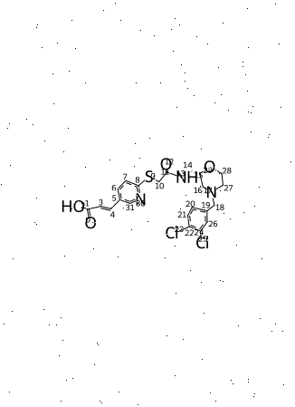 O=C(O)/C=C/c1ccc(SCC(=O)NC[C@H]2CN(Cc3ccc(Cl)c(Cl)c3)CCO2)nc1